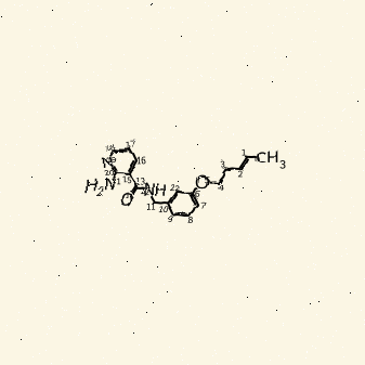 CC=CCCOc1cccc(CNC(=O)c2cccnc2N)c1